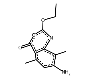 CCOc1nc2c(C)c(N)cc(C)c2c(=O)o1